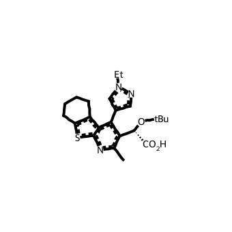 CCn1cc(-c2c([C@H](OC(C)(C)C)C(=O)O)c(C)nc3sc4c(c23)CCCC4)cn1